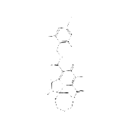 Cc1cc(F)c(CNC(=O)c2c3n4c(c(O)c2=O)C(=O)N2CCCC[C@@]4(C2)[C@@H](O)[C@@H]3O)c(F)c1